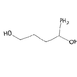 OCCCC(O)P